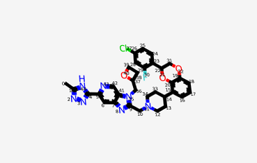 Cc1nnc(-c2cc3nc(CN4CCC(c5cccc6c5OC(c5ccc(Cl)cc5F)CO6)CC4)n(CC4CCO4)c3cn2)[nH]1